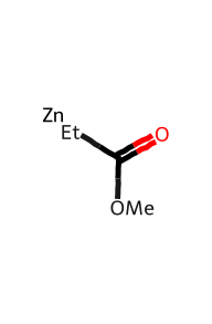 CCC(=O)OC.[Zn]